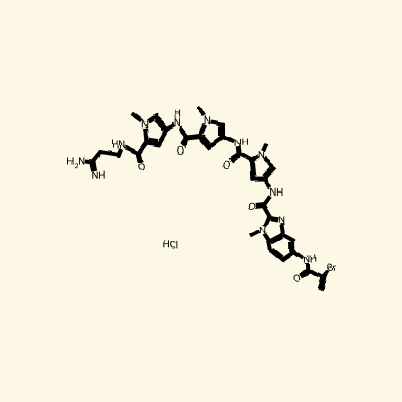 C=C(Br)C(=O)Nc1ccc2c(c1)nc(C(=O)Nc1cc(C(=O)Nc3cc(C(=O)Nc4cc(C(=O)NCCC(=N)N)n(C)c4)n(C)c3)n(C)c1)n2C.Cl